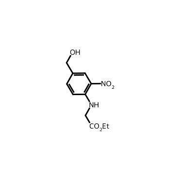 CCOC(=O)CNc1ccc(CO)cc1[N+](=O)[O-]